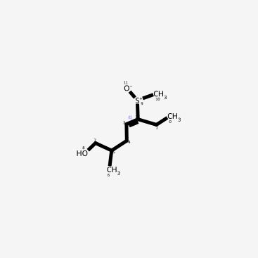 CC/C(=C\CC(C)CO)[S+](C)[O-]